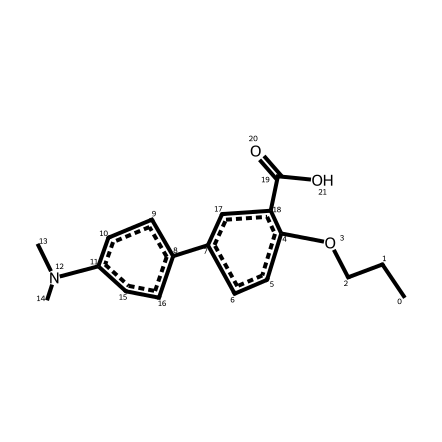 CCCOc1ccc(-c2ccc(N(C)C)cc2)cc1C(=O)O